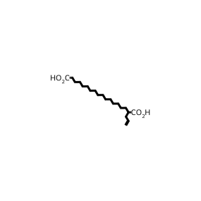 C=CCC(CCCCCCCCCCCCCCCC(=O)O)C(=O)O